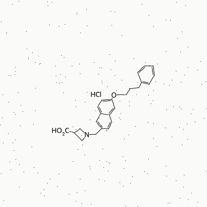 Cl.O=C(O)C1CN(Cc2ccc3cc(OCCCc4ccccc4)ccc3c2)C1